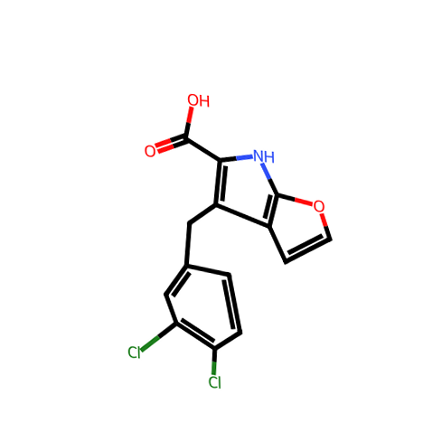 O=C(O)c1[nH]c2occc2c1Cc1ccc(Cl)c(Cl)c1